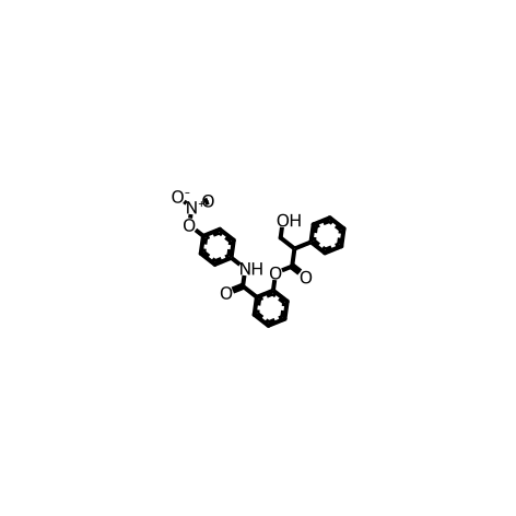 O=C(Nc1ccc(O[N+](=O)[O-])cc1)c1ccccc1OC(=O)C(CO)c1ccccc1